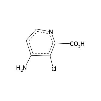 Nc1ccnc(C(=O)O)c1Cl